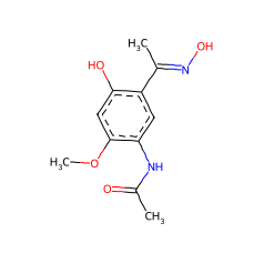 COc1cc(O)c(/C(C)=N/O)cc1NC(C)=O